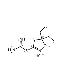 CCC1(CC)CC(SC(=N)N)=NO1.Cl